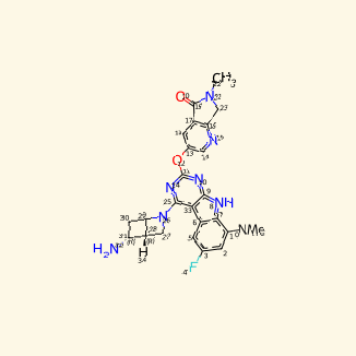 CNc1cc(F)cc2c1[nH]c1nc(Oc3cnc4c(c3)C(=O)N(C)C4)nc(N3C[C@H]4C3C[C@H]4N)c12